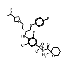 C[C@]1(C(=O)NS(=O)(=O)c2cc(F)c(N[C@H](CCN3CC(C(F)F)C3)CSc3ccc(F)cc3)c(Cl)c2)CCCCO1